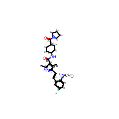 Cc1[nH]c(/C=C/c2cc(F)ccc2NC=O)c(C)c1C(=O)NC1CCC(C(=O)N2CCCC2)CC1